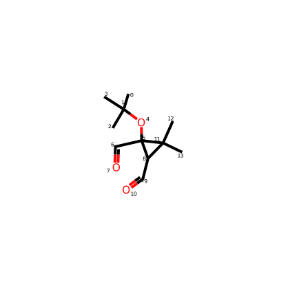 CC(C)(C)OC1([C]=O)C([C]=O)C1(C)C